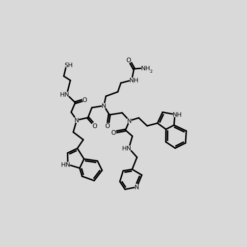 NC(=O)NCCCN(CC(=O)N(CCc1c[nH]c2ccccc12)CC(=O)NCCS)C(=O)CN(CCc1c[nH]c2ccccc12)C(=O)CNCc1cccnc1